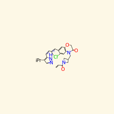 C=CC(=O)N1CC(CN2C(=O)COc3cc(/C=C(C)/C=C\c4[nH]ncc4C(C)C)c(Cl)cc32)C1